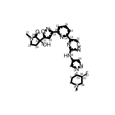 CN1CC[C@H](n2cc(Nc3nccc(-c4cccc(-c5cc([C@]6(O)CCN(C)C6=O)on5)n4)n3)cn2)[C@@H](F)C1